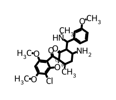 CNC(c1cccc(OC)c1)C1C(=O)[C@@]2(Oc3c(Cl)c(OC)cc(OC)c3C2=O)[C@H](C)CC1N